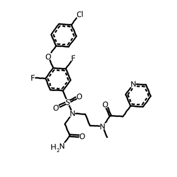 CN(CCN(CC(N)=O)S(=O)(=O)c1cc(F)c(Oc2ccc(Cl)cc2)c(F)c1)C(=O)Cc1cccnc1